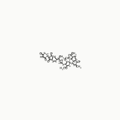 COc1cc(-c2cn(C)c(=O)c3cnc(N(C)C)cc23)cc(OC)c1CN1CC(N(C)c2ccc3c(c2)C(=O)N(C2CCC(=O)NC2=O)C3=O)C1